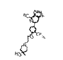 Cn1nnc2c(C#N)nc(-c3ccc(OCCCN4CCC(C)(O)CC4)c(C(F)(F)F)c3)cc21